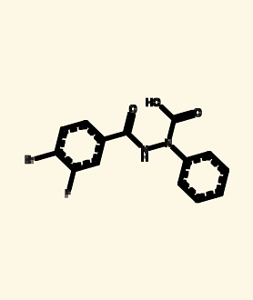 O=C(NN(C(=O)O)c1ccccc1)c1ccc(Br)c(F)c1